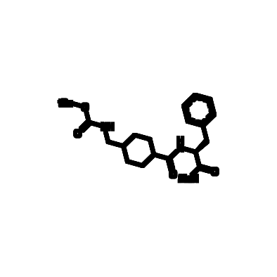 CNC(=O)[C@H](Cc1ccccc1)NC(=O)C1CCC(CNC(=O)OC(C)(C)C)CC1